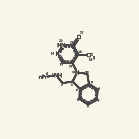 CCCNCC1c2ccccc2CN1c1cn[nH]c(=O)c1C(F)(F)F